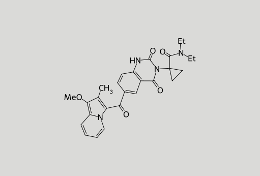 CCN(CC)C(=O)C1(n2c(=O)[nH]c3ccc(C(=O)c4c(C)c(OC)c5ccccn45)cc3c2=O)CC1